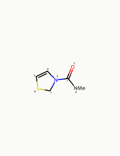 C[N]C(=O)N1C=CSC1